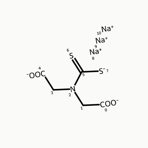 O=C([O-])CN(CC(=O)[O-])C(=S)[S-].[Na+].[Na+].[Na+]